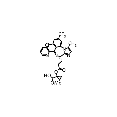 COC(O)C1(OC(=O)CC[C@@H]2N=C(c3ccccn3)c3c(Cl)cc(C(F)(F)F)cc3-n3c(C)cnc32)CC1